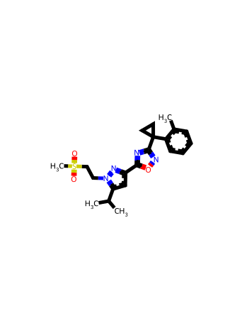 Cc1ccccc1C1(c2noc(-c3cc(C(C)C)n(CCS(C)(=O)=O)n3)n2)CC1